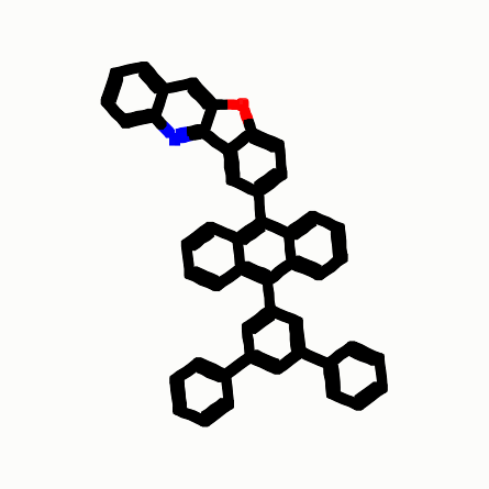 c1ccc(-c2cc(-c3ccccc3)cc(-c3c4ccccc4c(-c4ccc5oc6cc7ccccc7nc6c5c4)c4ccccc34)c2)cc1